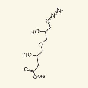 COC(=O)CC(O)COCC(O)CN=[N+]=[N-]